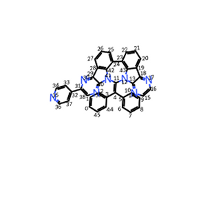 c1ccc(C(c2ccccc2)=c2n3c4nccnc4c4cccc(c5cccc6c7nc(-c8ccncc8)cnc7n2c56)c43)cc1